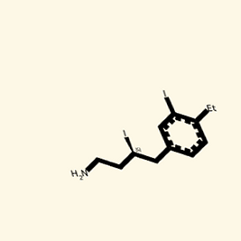 CCc1ccc(C[C@H](I)CCN)cc1I